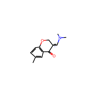 Cc1ccc2c(c1)C(=O)/C(=C/N(C)C)CO2